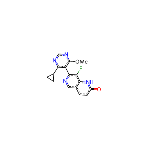 COc1ncnc(C2CC2)c1-c1ncc2ccc(=O)[nH]c2c1F